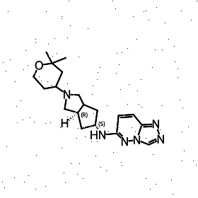 CC1(C)CC(N2CC3C[C@H](Nc4ccc5nncn5n4)C[C@H]3C2)CCO1